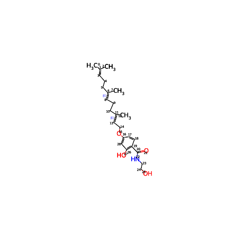 CC(C)=CCC/C(C)=C/CC/C(C)=C/COc1ccc(C(=O)NCCO)c(O)c1